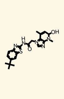 CC1=CC(O)N(C)c2ncn(CC(=O)Nc3nc4ccc(C(C)(C)C)cc4s3)c21